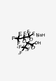 O=C(O)C1(C(F)(F)F)OC(F)(F)C(F)(C(F)(F)F)O1.[NaH]